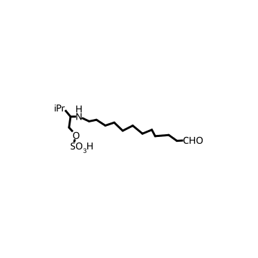 CC(C)C(COS(=O)(=O)O)NCCCCCCCCCCCC=O